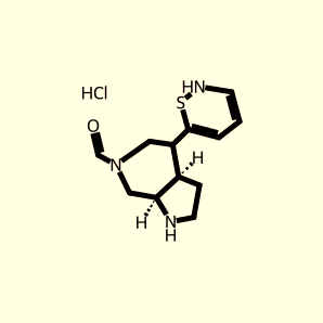 Cl.O=CN1CC(C2=CC=CNS2)[C@H]2CCN[C@H]2C1